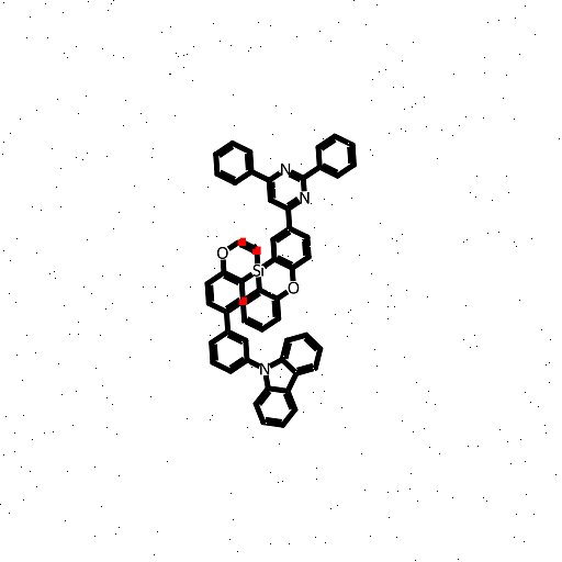 c1ccc(-c2cc(-c3ccc4c(c3)[Si]3(c5ccccc5Oc5ccc(-c6cccc(-n7c8ccccc8c8ccccc87)c6)cc53)c3ccccc3O4)nc(-c3ccccc3)n2)cc1